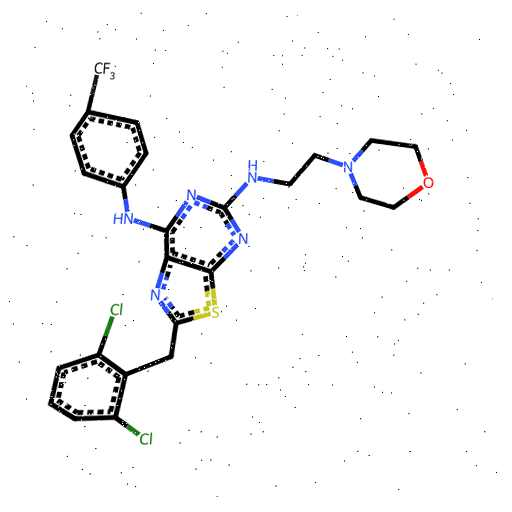 FC(F)(F)c1ccc(Nc2nc(NCCN3CCOCC3)nc3sc(Cc4c(Cl)cccc4Cl)nc23)cc1